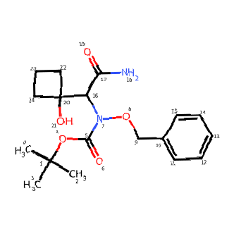 CC(C)(C)OC(=O)N(OCc1ccccc1)C(C(N)=O)C1(O)CCC1